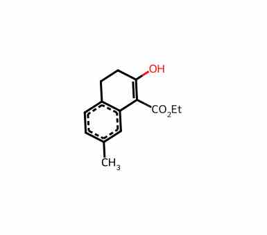 CCOC(=O)C1=C(O)CCc2ccc(C)cc21